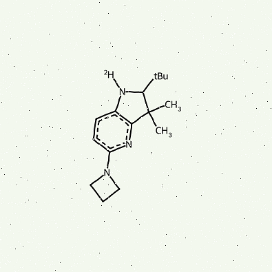 [2H]N1c2ccc(N3CCC3)nc2C(C)(C)C1C(C)(C)C